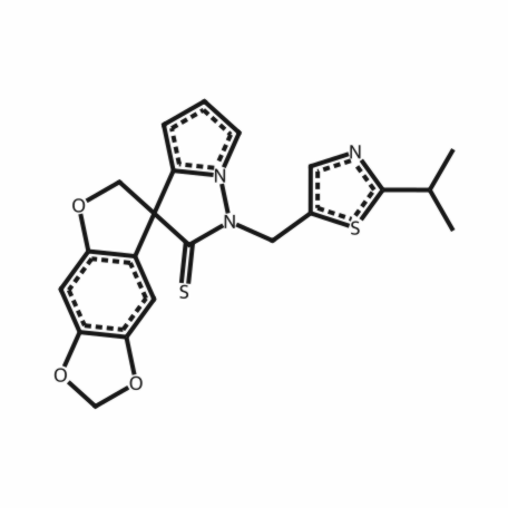 CC(C)c1ncc(CN2C(=S)C3(COc4cc5c(cc43)OCO5)c3cccn32)s1